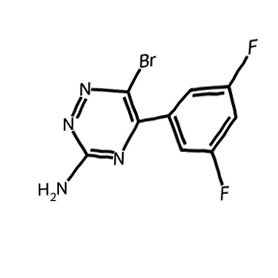 Nc1nnc(Br)c(-c2cc(F)cc(F)c2)n1